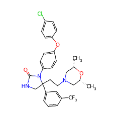 C[C@@H]1CN(CCC2(c3cccc(C(F)(F)F)c3)CNC(=O)N2c2ccc(Oc3ccc(Cl)cc3)cc2)C[C@H](C)O1